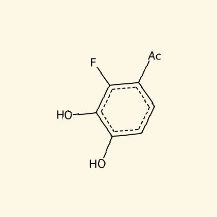 CC(=O)c1ccc(O)c(O)c1F